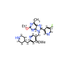 CCOc1nc(C)c2nc(-c3cncc(F)c3)n(Cc3cnc(CC4CCNCC4)cc3OC)c2n1